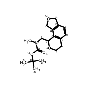 CN(CC1OCCc2ccc3c(c21)COC3)C(=O)OC(C)(C)C